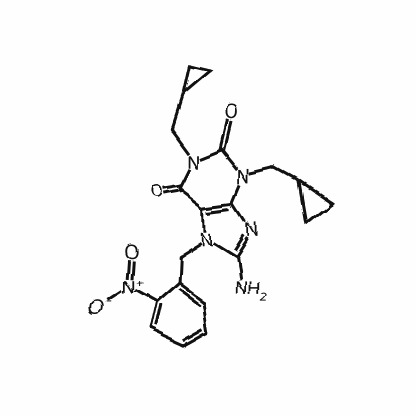 Nc1nc2c(c(=O)n(CC3CC3)c(=O)n2CC2CC2)n1Cc1ccccc1[N+](=O)[O-]